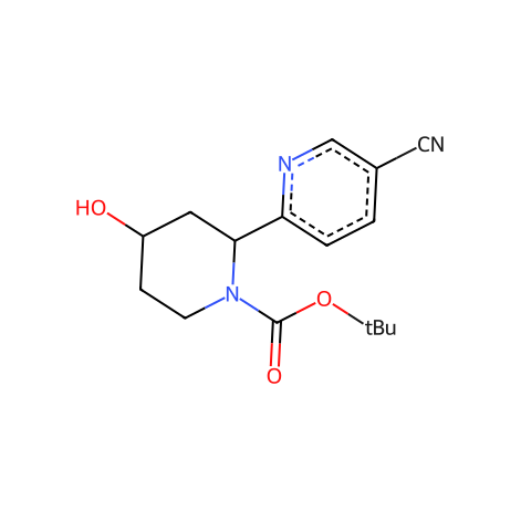 CC(C)(C)OC(=O)N1CCC(O)CC1c1ccc(C#N)cn1